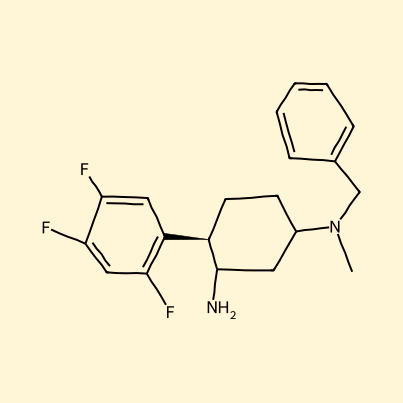 CN(Cc1ccccc1)C1CC[C@H](c2cc(F)c(F)cc2F)C(N)C1